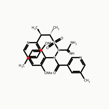 COc1cccc(OC)c1N(C(=O)c1cncc(C)c1)N(C(=N)N)S(=O)(=O)[C@@H](C)[C@H](C)c1ncc(C)cn1